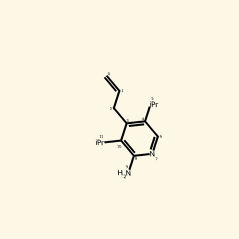 C=CCc1c(C(C)C)cnc(N)c1C(C)C